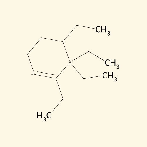 CCC1=[C]CCC(CC)C1(CC)CC